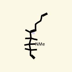 C=CCC/C=C(\C)C(C)(C)C(C)(NC)C(C)(C)C=C